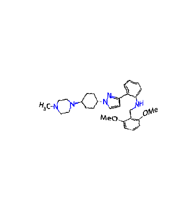 COc1cccc(OC)c1CNc1ccccc1-c1ccn([C@H]2CC[C@H](N3CCN(C)CC3)CC2)n1